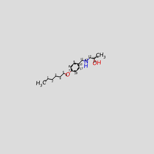 CCCCCCOc1ccc(CNCC(C)O)cc1